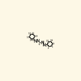 c1ccc(N=NCN=Nc2ccccc2)cc1